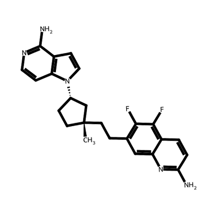 C[C@@]1(CCc2cc3nc(N)ccc3c(F)c2F)CC[C@H](n2ccc3c(N)nccc32)C1